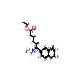 CCOC(=O)CCCCC(N)c1ccc2ccccc2c1